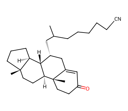 CC(CCCCCC#N)C[C@@H]1CC2=CC(=O)CC[C@]2(C)[C@H]2CC[C@]3(C)CCC[C@H]3[C@H]12